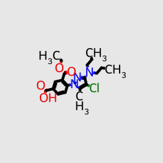 CCCN(CCC)c1nn(-c2ccc(C(=O)O)cc2C(=O)OCC)c(C)c1Cl